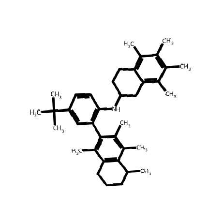 Cc1c(C)c(C)c2c(c1C)CCC(Nc1ccc(C(C)(C)C)cc1-c1c(C)c(C)c3c(c1C)CCCC3C)C2